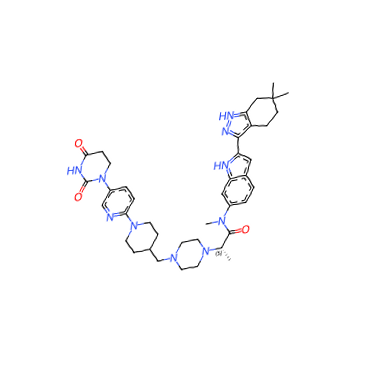 C[C@@H](C(=O)N(C)c1ccc2cc(-c3n[nH]c4c3CCC(C)(C)C4)[nH]c2c1)N1CCN(CC2CCN(c3ccc(N4CCC(=O)NC4=O)cn3)CC2)CC1